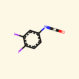 O=C=Nc1ccc(I)c(I)c1